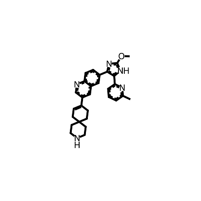 COc1nc(-c2ccc3ncc(C4=CCC5(CCNCC5)CC4)cc3c2)c(-c2cccc(C)n2)[nH]1